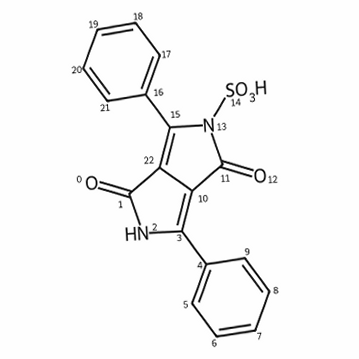 O=C1NC(c2ccccc2)=C2C(=O)N(S(=O)(=O)O)C(c3ccccc3)=C12